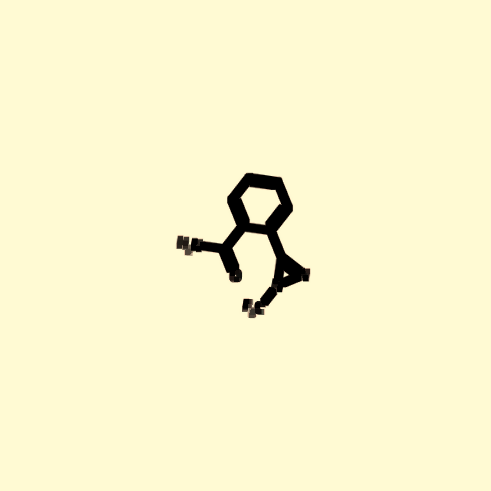 NC(=O)c1ccccc1C1=NN1C(F)(F)F